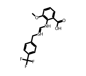 COc1cccc(C(=O)O)c1NC=[SH]Cc1ccc(C(F)(F)F)cc1